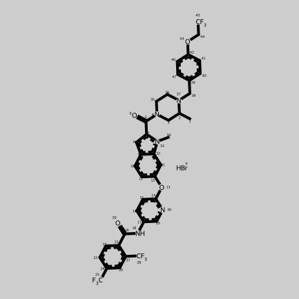 Br.CC1CN(C(=O)c2cc3ccc(Oc4ccc(NC(=O)c5ccc(C(F)(F)F)cc5C(F)(F)F)cn4)cc3n2C)CCN1Cc1ccc(OCC(F)(F)F)cc1